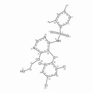 Cc1ccc(S(=O)(=O)Nc2ncnc(OCCO)c2Oc2c(Cl)cc(Cl)cc2Cl)c(C)c1